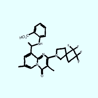 Cc1cc(C(C)Nc2ccccc2C(=O)O)c2nc(N3CCC4(C3)CC(F)(F)C4(F)F)c(C)c(=O)n2c1